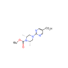 C[C@@H]1CN(c2ncc(C(=O)O)cn2)C[C@H](C)N1C(=O)OC(C)(C)C